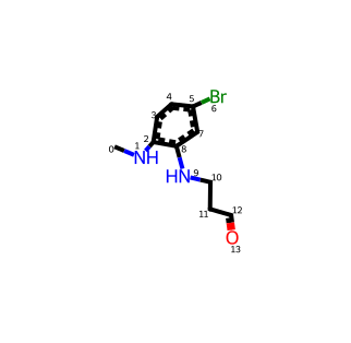 CNc1ccc(Br)cc1NCCC=O